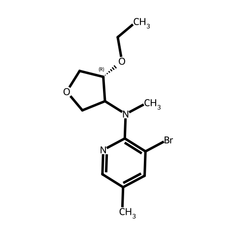 CCO[C@H]1COCC1N(C)c1ncc(C)cc1Br